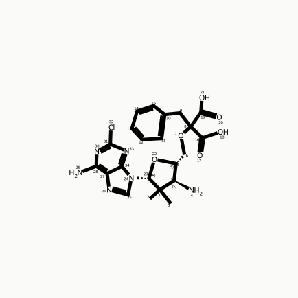 CC1(C)[C@H](N)[C@@H](COC(Cc2ccccc2)(C(=O)O)C(=O)O)O[C@H]1n1cnc2c(N)nc(Cl)nc21